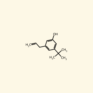 C=CCc1cc(O)cc(C(C)(C)C)c1